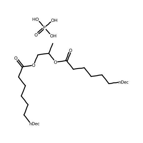 CCCCCCCCCCCCCCCC(=O)OCC(C)OC(=O)CCCCCCCCCCCCCCC.O=P(O)(O)O